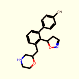 N#Cc1ccc(-c2cccc(CC3CNCCO3)c2C2CC=NO2)cc1